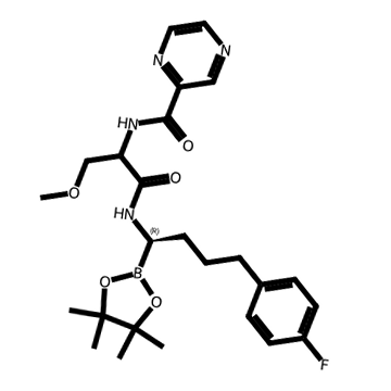 COCC(NC(=O)c1cnccn1)C(=O)N[C@@H](CCCc1ccc(F)cc1)B1OC(C)(C)C(C)(C)O1